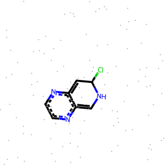 ClC1C=c2nccnc2=CN1